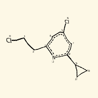 ClCCc1cc(Cl)cc(C2CC2)n1